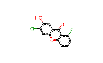 O=c1c2cc(O)c(Cl)cc2oc2cccc(F)c12